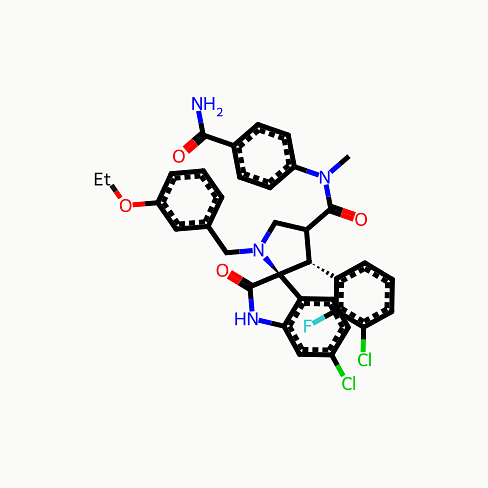 CCOc1cccc(CN2CC(C(=O)N(C)c3ccc(C(N)=O)cc3)[C@H](c3cccc(Cl)c3F)[C@]23C(=O)Nc2cc(Cl)ccc23)c1